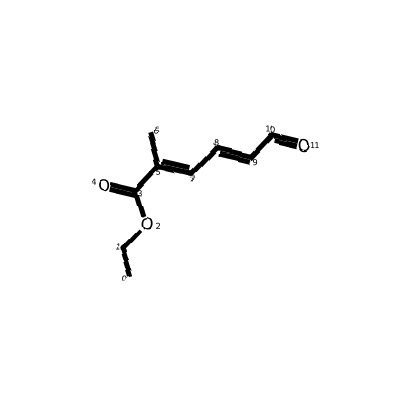 CCOC(=O)C(C)=CC=CC=O